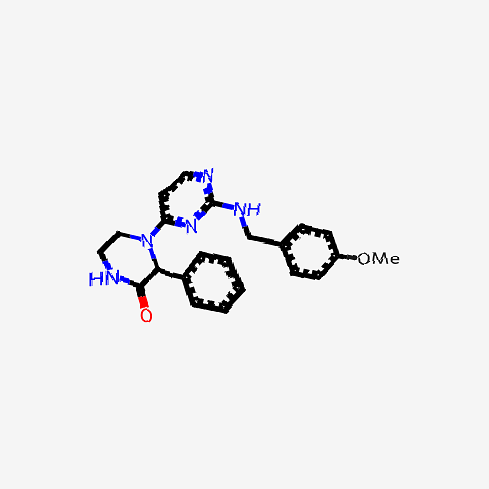 COc1ccc(CNc2nccc(N3CCNC(=O)C3c3ccccc3)n2)cc1